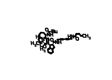 C=C/C=C\C(=O)NCC#CC#CCNC(=O)[C@@H]1Cc2ccccc2[C@@H]1NC(=O)[C@H]1N2C(=O)[C@@H](NC(=O)[C@H](C)CC)CCC[C@H]2CC1(C)C